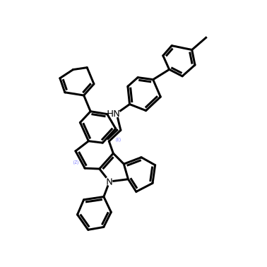 Cc1ccc(-c2ccc(N/C=C/c3c(/C=C\c4cccc(C5=CCCC=C5)c4)n(-c4ccccc4)c4ccccc34)cc2)cc1